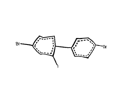 Brc1ccc(-c2ccc(Br)cc2I)cc1